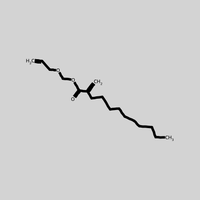 C=CCOCOC(=O)C(=C)CCCCCCCCCC